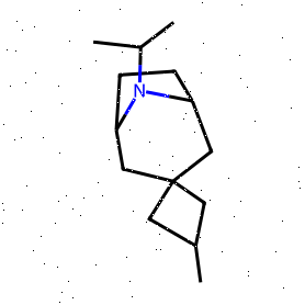 CC1CC2(C1)CC1CCC(C2)N1C(C)C